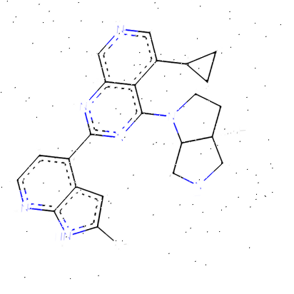 FC(F)(F)c1cc2c(-c3nc(N4CC[C@H]5CNCC54)c4c(C5CC5)cncc4n3)ccnc2[nH]1